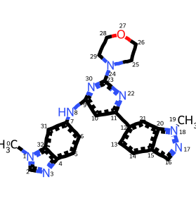 Cn1cnc2ccc(Nc3cc(-c4ccc5cnn(C)c5c4)nc(N4CCOCC4)n3)cc21